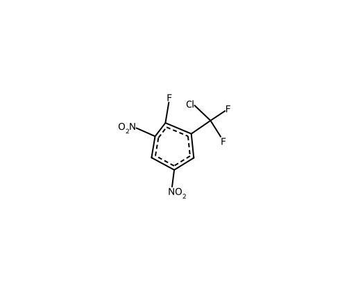 O=[N+]([O-])c1cc([N+](=O)[O-])c(F)c(C(F)(F)Cl)c1